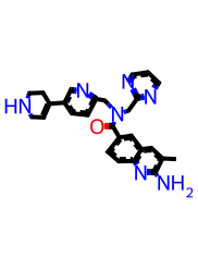 Cc1cc2cc(C(=O)N(Cc3ccc(C4=CCNCC4)cn3)Cc3ncccn3)ccc2nc1N